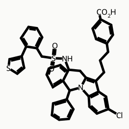 O=C(O)c1ccc(CCCc2c(CCNS(=O)(=O)Cc3ccccc3-c3ccsc3)n(C(c3ccccc3)c3ccccc3)c3ccc(Cl)cc23)cc1